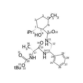 CC(C)[C@@H]1CC[C@@H](C)C[C@@]1(O)C(=O)NC[C@@H](NC(=O)[C@@H](C)NC(=O)OC(C)(C)C)c1ccccc1